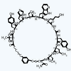 CCC[C@@H]1NC(=O)[C@H](Cc2ccc(O)cc2)NC(=O)CNC(=O)[C@H](CCCCO)NC(=O)[C@H](Cc2c[nH]c3ncccc23)NC(=O)[C@H](CC)NC(=O)[C@H](Cc2cnc[nH]2)NC(=O)[C@H](Cc2ccc(O)cc2)NC(=O)[C@H](C(C)(C)C)NC(=O)CCSCc2cccc(c2)CSC[C@@H](C(N)=O)NC(=O)[C@H](CC)NC1=O